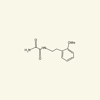 COc1ccccc1CCNC(=O)C(N)=O